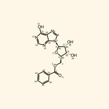 O=C(OC[C@H]1O[C@@H](n2cnc3c(O)ncnc32)[C@H](O)[C@@H]1O)c1ccccc1